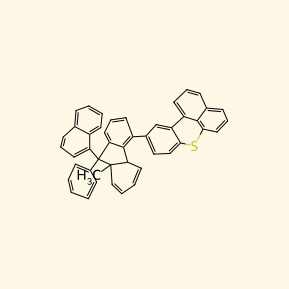 CC12C=CC=CC1c1c(-c3ccc4c(c3)-c3cccc5cccc(c35)S4)cccc1C2(c1ccccc1)c1cccc2ccccc12